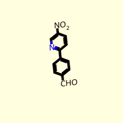 O=Cc1ccc(-c2ccc([N+](=O)[O-])cn2)cc1